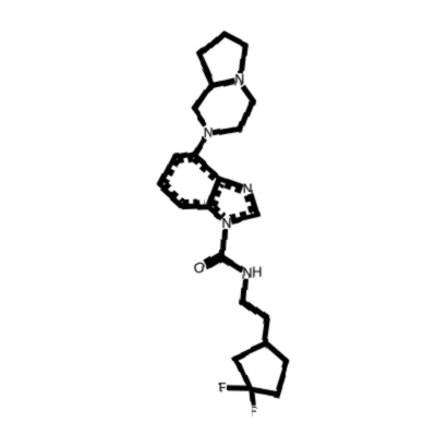 O=C(NCCC1CCC(F)(F)C1)n1cnc2c(N3CCN4CCCC4C3)cccc21